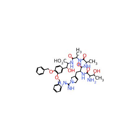 CC(NC(=O)C(C)NC(=O)C(CC1=CCN(C(=N)N)C1)NC(=O)C(N)C(C)O)C(=O)NC(C(=O)O)C(O)c1ccc(OCc2ccccc2)c(OCc2ccccc2)c1